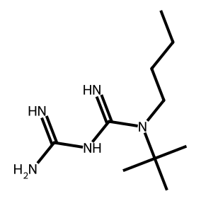 CCCCN(C(=N)NC(=N)N)C(C)(C)C